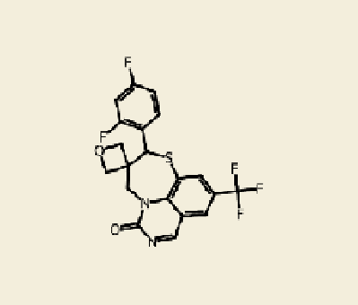 O=c1ncc2cc(C(F)(F)F)cc3c2n1CC1(COC1)C(c1ccc(F)cc1F)S3